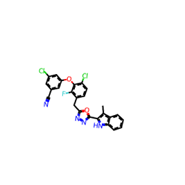 Cc1c(-c2nnc(Cc3ccc(Cl)c(Oc4cc(Cl)cc(C#N)c4)c3F)o2)[nH]c2ccccc12